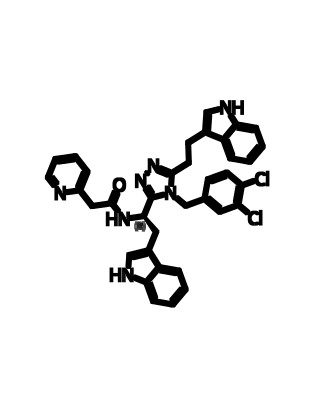 O=C(Cc1ccccn1)N[C@H](Cc1c[nH]c2ccccc12)c1nnc(CCc2c[nH]c3ccccc23)n1Cc1ccc(Cl)c(Cl)c1